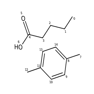 CCCCC(=O)O.Cc1ccc(C)cc1